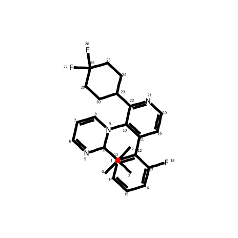 CC(C)(C)C1N=CC=CN1c1c(-c2ncccc2F)ccnc1C1CCC(F)(F)CC1